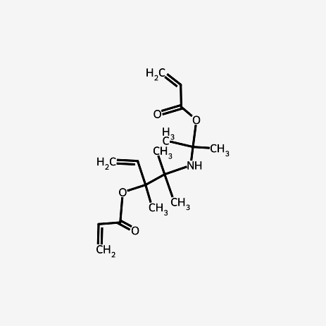 C=CC(=O)OC(C)(C)NC(C)(C)C(C)(C=C)OC(=O)C=C